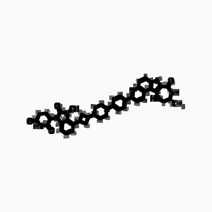 C[C@@H]1CNc2c(sc3ccc4nc(-c5ccc(N6CCN(C7CC(c8cccc9c8n(C)c(=O)n9C8CCC(=O)NC8=O)C7)CC6)cc5)ccc4c23)C(=O)N1